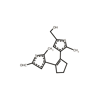 Cc1sc(C=O)cc1C1=C(c2cc(CO)sc2C)CCC1